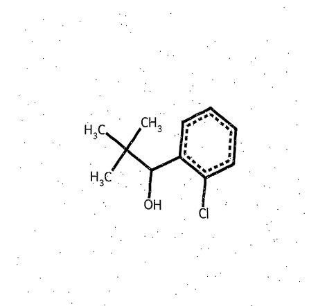 CC(C)(C)C(O)c1ccccc1Cl